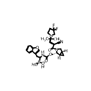 CC(C)(C=C(C#N)C(=O)N1C[C@@H]2C[C@@H]2[C@@H]1COC(=O)NC(Cc1coc2ccccc12)B(O)O)N1CCC(F)(F)C1